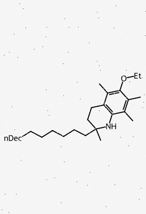 CCCCCCCCCCCCCCCCC1(C)CCc2c(C)c(OCC)c(C)c(C)c2N1